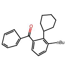 CCCCc1cccc(C(=O)c2ccccc2)c1C1CCCCC1